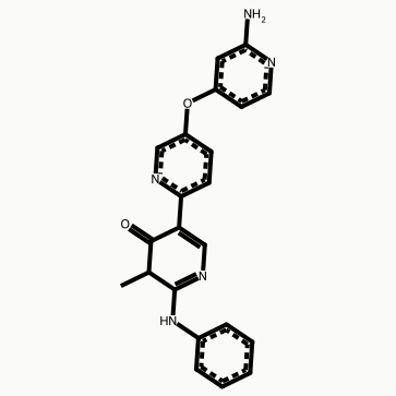 CC1C(=O)C(c2ccc(Oc3ccnc(N)c3)cn2)=CN=C1Nc1ccccc1